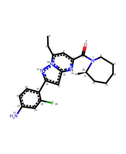 CCc1cc(C(=O)N2CCCCC[C@H]2C)nc2cc(-c3ccc(N)cc3F)nn12